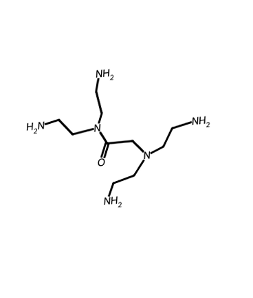 NCCN(CCN)CC(=O)N(CCN)CCN